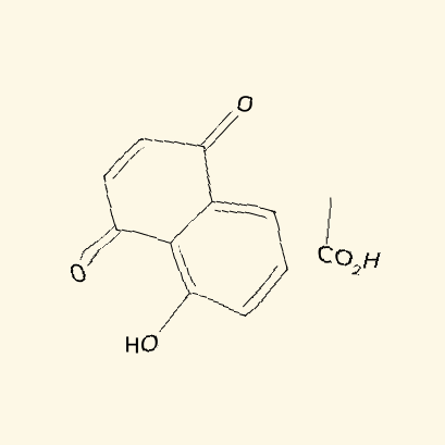 CC(=O)O.O=C1C=CC(=O)c2c(O)cccc21